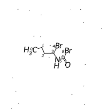 CCCC(Br)NC(=O)Br